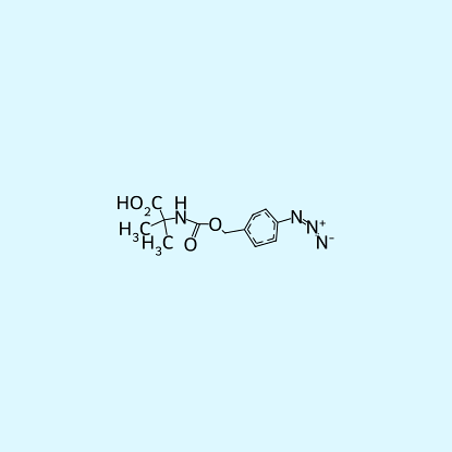 CC(C)(NC(=O)OCc1ccc(N=[N+]=[N-])cc1)C(=O)O